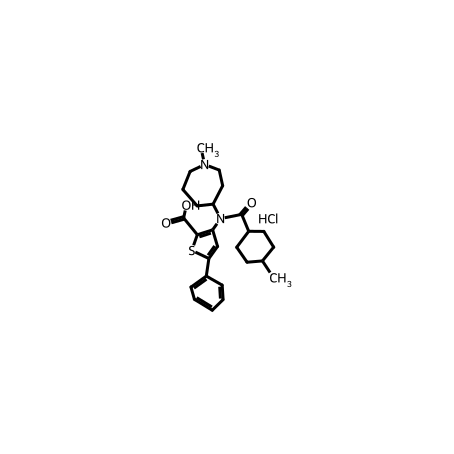 CC1CCC(C(=O)N(c2cc(-c3ccccc3)sc2C(=O)O)C2CCCN(C)CC2)CC1.Cl